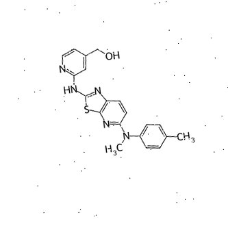 Cc1ccc(N(C)c2ccc3nc(Nc4cc(CO)ccn4)sc3n2)cc1